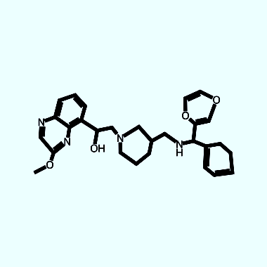 COc1cnc2cccc(C(O)CN3CCCC(CNC(C4=CC=CCC4)C4=COC=CO4)C3)c2n1